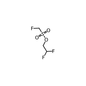 O=S(=O)(CF)OCC(F)F